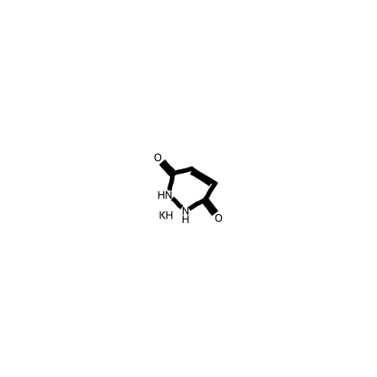 O=c1ccc(=O)[nH][nH]1.[KH]